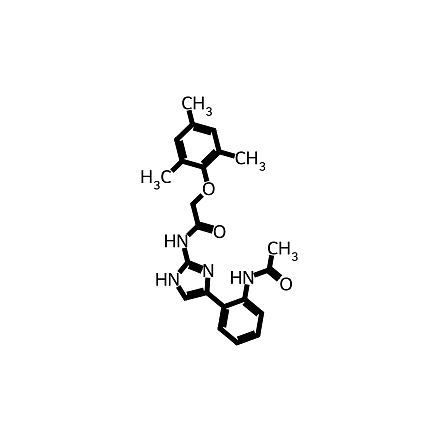 CC(=O)Nc1ccccc1-c1c[nH]c(NC(=O)COc2c(C)cc(C)cc2C)n1